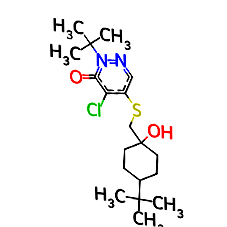 CC(C)(C)C1CCC(O)(CSc2cnn(C(C)(C)C)c(=O)c2Cl)CC1